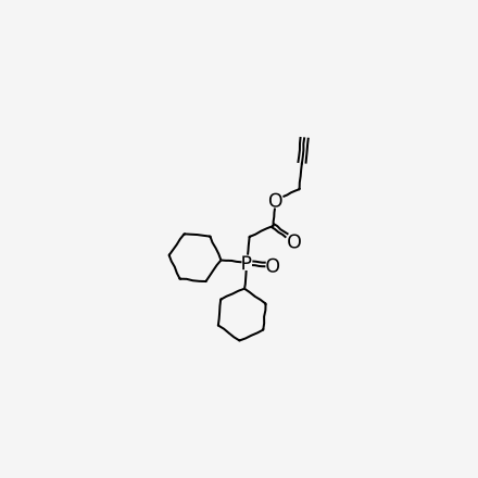 C#CCOC(=O)CP(=O)(C1CCCCC1)C1CCCCC1